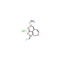 Cl.NC[C@@H]1C=C2C=COCC3=C2B(O1)O[C@@H]3CF